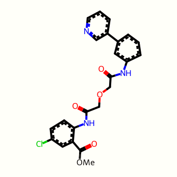 COC(=O)c1cc(Cl)ccc1NC(=O)COCC(=O)Nc1cccc(-c2cccnc2)c1